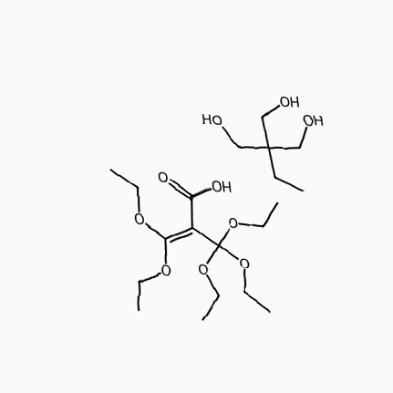 CCC(CO)(CO)CO.CCOC(OCC)=C(C(=O)O)C(OCC)(OCC)OCC